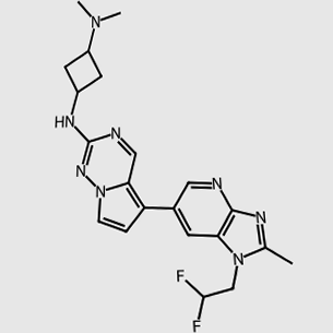 Cc1nc2ncc(-c3ccn4nc(NC5CC(N(C)C)C5)ncc34)cc2n1CC(F)F